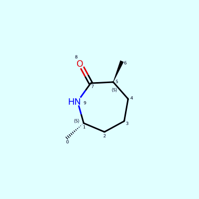 C[C@H]1CCC[C@H](C)C(=O)N1